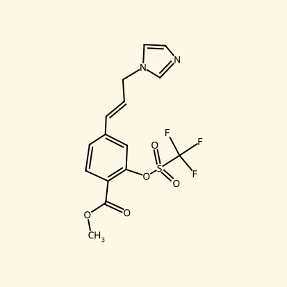 COC(=O)c1ccc(C=CCn2ccnc2)cc1OS(=O)(=O)C(F)(F)F